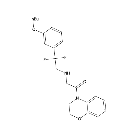 CCCCOc1cccc(C(F)(F)CNCC(=O)N2CCOc3ccccc32)c1